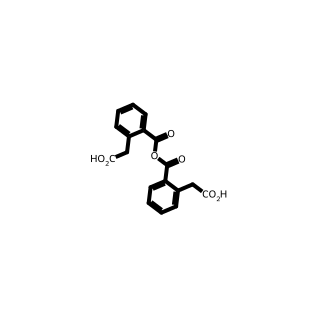 O=C(O)Cc1ccccc1C(=O)OC(=O)c1ccccc1CC(=O)O